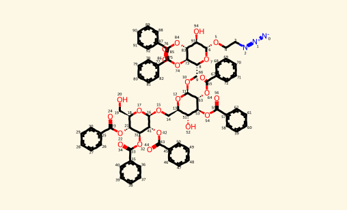 [N-]=[N+]=NCCO[C@@H]1O[C@H](CO[C@@H]2O[C@H](CO[C@@H]3O[C@H](CO)[C@@H](OC(=O)c4ccccc4)[C@H](OC(=O)c4ccccc4)[C@H]3OC(=O)c3ccccc3)[C@@H](O)[C@H](OC(=O)c3ccccc3)[C@H]2OC(=O)c2ccccc2)[C@@H](OC(=O)c2ccccc2)[C@H](OC(=O)c2ccccc2)[C@H]1O